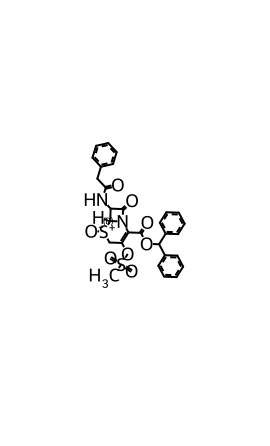 CS(=O)(=O)OC1=C(C(=O)OC(c2ccccc2)c2ccccc2)N2C(=O)C(NC(=O)Cc3ccccc3)[C@H]2[S+]([O-])C1